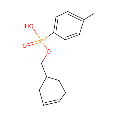 Cc1ccc(P(=O)(O)OCC2CC=CCC2)cc1